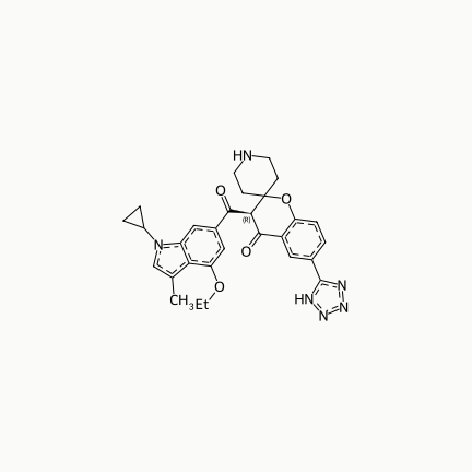 CCOc1cc(C(=O)[C@@H]2C(=O)c3cc(-c4nnn[nH]4)ccc3OC23CCNCC3)cc2c1c(C)cn2C1CC1